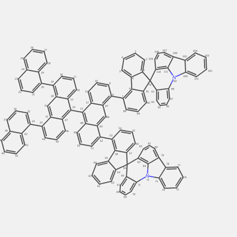 c1ccc2c(c1)-c1c(-c3cccc4c(-c5c6cccc(-c7cccc8ccccc78)c6cc6c(-c7cccc8ccccc78)cccc56)c5cccc(-c6cccc7c6-c6ccccc6C76c7ccccc7-n7c8ccccc8c8cccc6c87)c5cc34)cccc1C21c2ccccc2-n2c3ccccc3c3cccc1c32